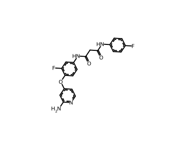 Nc1cc(Oc2ccc(NC(=O)CC(=O)Nc3ccc(F)cc3)cc2F)ccn1